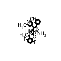 Cc1cc(-c2c(-c3ccccc3)nc(N)[n+]3c(=O)n(C(C)c4cc(F)ccc4F)[nH]c23)cc(C)n1